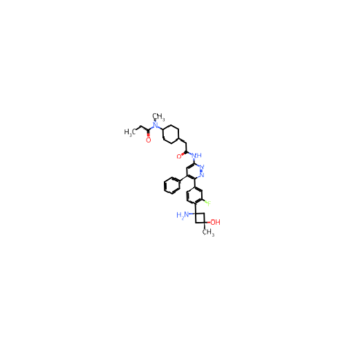 CCC(=O)N(C)C1CCC(CC(=O)Nc2cc(-c3ccccc3)c(-c3ccc([C@]4(N)C[C@](C)(O)C4)c(F)c3)nn2)CC1